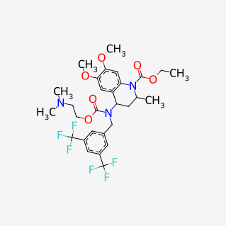 CCOC(=O)N1c2cc(OC)c(OC)cc2C(N(Cc2cc(C(F)(F)F)cc(C(F)(F)F)c2)C(=O)OCCN(C)C)CC1C